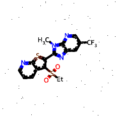 CCS(=O)(=O)c1c(-c2nc3cc(C(F)(F)F)cnc3n2C)sc2ncccc12